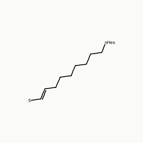 CCCCCCCCCCCCCC=C[S]